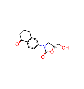 O=C1CCCc2cc(N3C[C@H](CO)OC3=O)ccc21